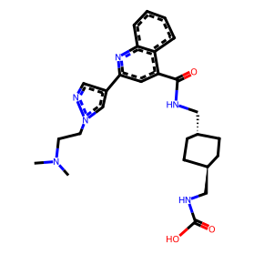 CN(C)CCn1cc(-c2cc(C(=O)NC[C@H]3CC[C@H](CNC(=O)O)CC3)c3ccccc3n2)cn1